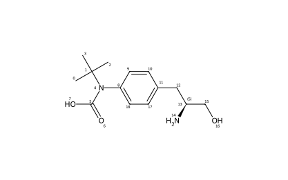 CC(C)(C)N(C(=O)O)c1ccc(C[C@H](N)CO)cc1